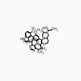 C=CC(O)N1CC2CCOc3c(c4cc(Cl)c(-c5c(C)ccc6[nH]cnc56)c(F)c4n(-c4c(C(C)C)ncnc4C(C)C)c3=O)N2CC1C